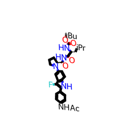 CC(=O)Nc1ccc(-c2[nH]c3ccc(N4CCC[C@H]4C(=O)NC(=O)[C@@H](CC(C)C)NC(=O)OC(C)(C)C)cc3c2F)cc1